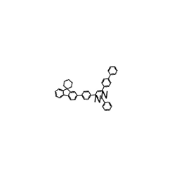 c1ccc(-c2ccc(-c3cc(-c4ccc(-c5ccc6c(c5)C5(CCCCC5)c5ccccc5-6)cc4)nc(-c4ccccc4)n3)cc2)cc1